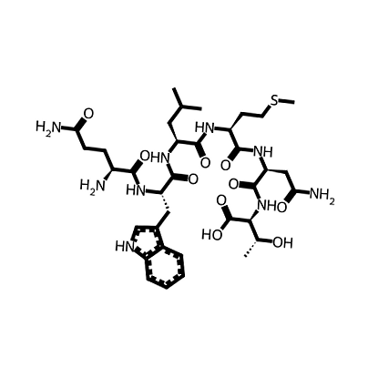 CSCC[C@H](NC(=O)[C@H](CC(C)C)NC(=O)[C@H](Cc1c[nH]c2ccccc12)NC(=O)[C@@H](N)CCC(N)=O)C(=O)N[C@@H](CC(N)=O)C(=O)N[C@H](C(=O)O)[C@@H](C)O